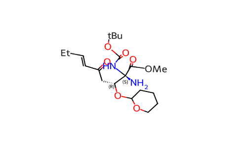 CCC=CC(=O)C[C@@H](OC1CCCCO1)[C@](N)(NC(=O)OC(C)(C)C)C(=O)OC